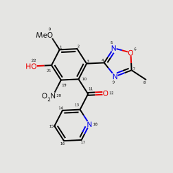 COc1cc(-c2noc(C)n2)c(C(=O)c2ccccn2)c([N+](=O)[O-])c1O